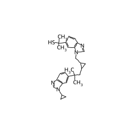 CC(C)(S)c1ccc2ncn(CC3CC3CC(C)(C)c3ccc4ncn(C5CC5)c4c3)c2c1